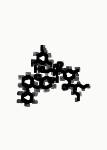 CCCN(CCC)C(=O)c1cc(C)cc(C(=O)N[C@@H](Cc2cc(F)cc(F)c2)C(O)[C@@H]2NCCN(Cc3ccccc3-c3ccccc3)C2=O)c1